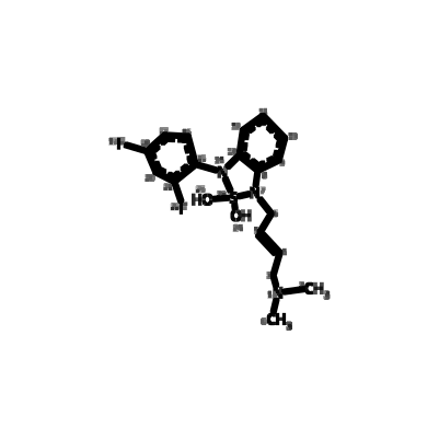 CN(C)C/C=C/CN1c2ccccc2N(c2ccc(F)cc2F)S1(O)O